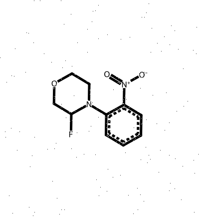 O=[N+]([O-])c1ccccc1N1CCOCC1F